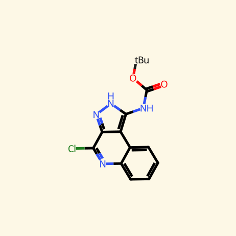 CC(C)(C)OC(=O)Nc1[nH]nc2c(Cl)nc3ccccc3c12